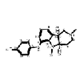 CN1CC[C@H]2[C@H](C1)c1cccc(Sc3ccc(F)cc3)c1N2C